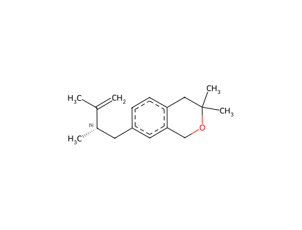 C=C(C)[C@@H](C)Cc1ccc2c(c1)COC(C)(C)C2